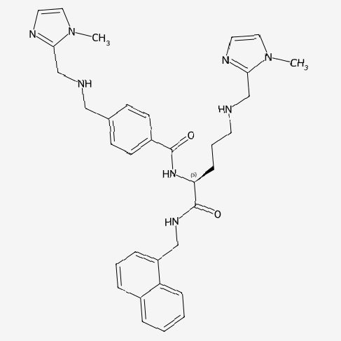 Cn1ccnc1CNCCC[C@H](NC(=O)c1ccc(CNCc2nccn2C)cc1)C(=O)NCc1cccc2ccccc12